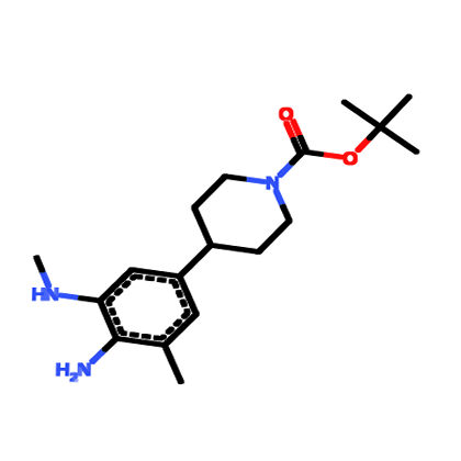 CNc1cc(C2CCN(C(=O)OC(C)(C)C)CC2)cc(C)c1N